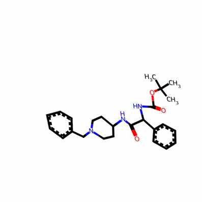 CC(C)(C)OC(=O)NC(C(=O)NC1CCN(Cc2ccccc2)CC1)c1ccccc1